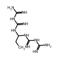 CCC(NC(=N)NC(=N)N)NC(=N)NC(=N)N